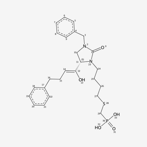 O=C1N(Cc2ccccc2)C[C@@H](C(O)=CCCc2ccccc2)N1CCCCSCP(=O)(O)O